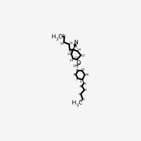 CCCCCC[C@H]1CC[C@H](CO[C@H]2CC[C@@](C#N)(CCCCC)CC2)CC1